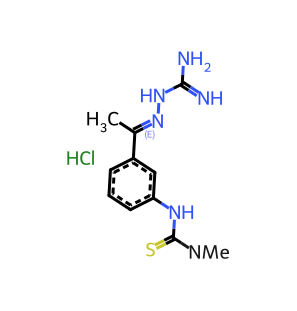 CNC(=S)Nc1cccc(/C(C)=N/NC(=N)N)c1.Cl